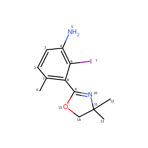 Cc1ccc(N)c(I)c1C1=NC(C)(C)CO1